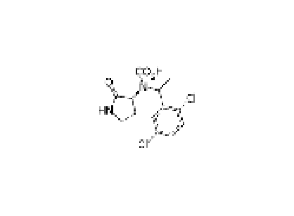 CC(c1cc(Cl)ccc1Cl)N(C(=O)O)[C@H]1CCNC1=O